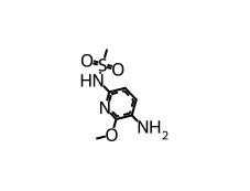 COc1nc(NS(C)(=O)=O)ccc1N